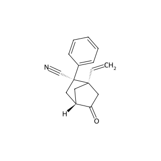 C=C[C@]12CC(=O)[C@@H](C1)C[C@@]2(C#N)c1ccccc1